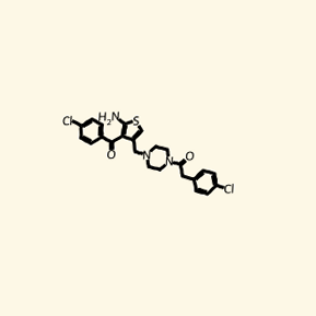 Nc1scc(CN2CCN(C(=O)Cc3ccc(Cl)cc3)CC2)c1C(=O)c1ccc(Cl)cc1